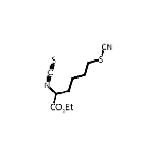 CCOC(=O)C(CCCCSC#N)N=C=S